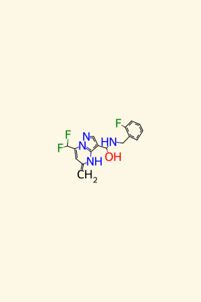 C=C1C=C(C(F)F)n2ncc(C(O)NCc3ccccc3F)c2N1